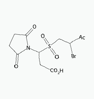 CC(=O)C(Br)CS(=O)(=O)C(CC(=O)O)N1C(=O)CCC1=O